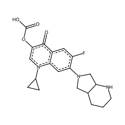 O=C(O)Oc1cn(C2CC2)c2cc(N3CC4CCCNC4C3)c(F)cc2c1=O